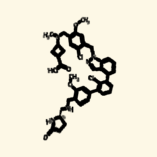 COc1cc(-c2cccc(-c3cccc4c3cnn4Cc3cc(OC)c(CN(C)C4CC(C(=O)O)C4)cc3Cl)c2Cl)ccc1CNC[C@@H]1CCC(=O)N1